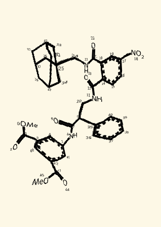 COC(=O)c1cc(NC(=O)C(CNC(=O)c2ccc([N+](=O)[O-])cc2C(=O)NCC23CC4CC(CC(C4)C2)C3)c2ccccc2)cc(C(=O)OC)c1